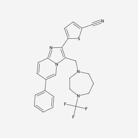 N#Cc1ccc(-c2nc3ccc(-c4ccccc4)cn3c2CN2CCCN(C(F)(F)F)CC2)s1